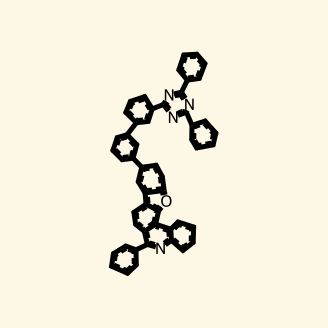 c1ccc(-c2nc(-c3ccccc3)nc(-c3cccc(-c4cccc(-c5ccc6oc7c(ccc8c(-c9ccccc9)nc9ccccc9c87)c6c5)c4)c3)n2)cc1